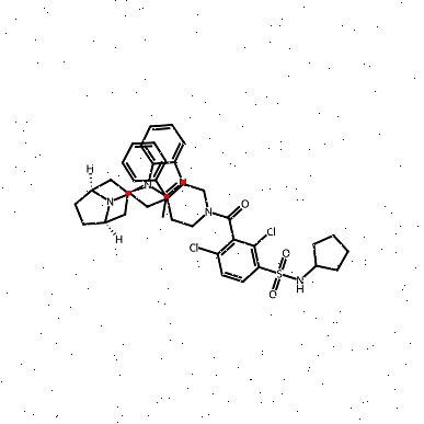 Cc1nc2ccccc2n1[C@H]1C[C@H]2CC[C@@H](C1)N2CCC1(c2ccccc2)CCN(C(=O)c2c(Cl)ccc(S(=O)(=O)NC3CCCC3)c2Cl)CC1